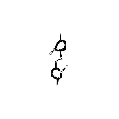 Cc1ccc(SSc2ccc(C)c[n+]2[O-])[n+]([O-])c1